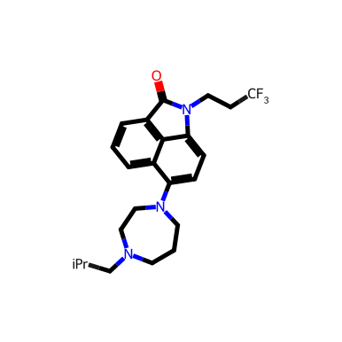 CC(C)CN1CCCN(c2ccc3c4c(cccc24)C(=O)N3CCC(F)(F)F)CC1